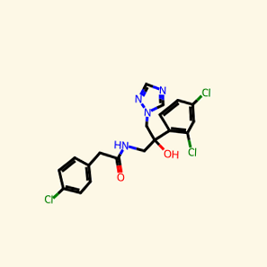 O=C(Cc1ccc(Cl)cc1)NCC(O)(Cn1cncn1)c1ccc(Cl)cc1Cl